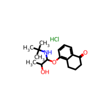 CC(O)C(NC(C)(C)C)Oc1cccc2c1CCCC2=O.Cl